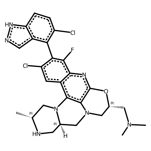 C[C@@H]1CN2c3c4c(nc5c(F)c(-c6c(Cl)ccc7[nH]ncc67)c(Cl)cc35)O[C@H](CN(C)C)CN4C[C@H]2CN1